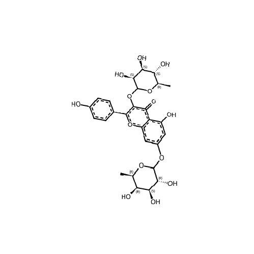 C[C@H]1OC(Oc2cc(O)c3c(=O)c(OC4O[C@H](C)[C@@H](O)[C@H](O)[C@@H]4O)c(-c4ccc(O)cc4)oc3c2)[C@H](O)[C@@H](O)[C@H]1O